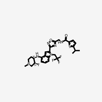 CC(C)c1ccc(C(=O)NCc2nc(-c3cc4c(N[C@@H]5CCN(C)C[C@@H]5F)cccc4n3CC(F)(F)F)no2)s1